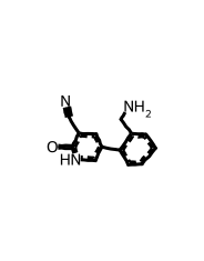 N#Cc1cc(-c2ccccc2CN)c[nH]c1=O